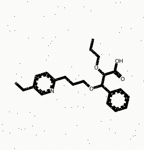 CCCOC(C(=O)O)C(OCCCc1ccc(CC)cn1)c1ccccc1